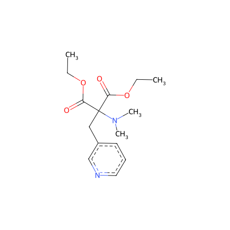 CCOC(=O)C(Cc1cccnc1)(C(=O)OCC)N(C)C